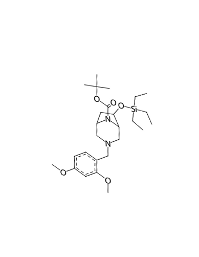 CC[Si](CC)(CC)OC1CC2CN(Cc3ccc(OC)cc3OC)CC1N2C(=O)OC(C)(C)C